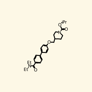 CCN(CC)C(=O)c1ccc(-c2ccc(OCC3CCN(C(=O)OC(C)C)CC3)cc2)cc1